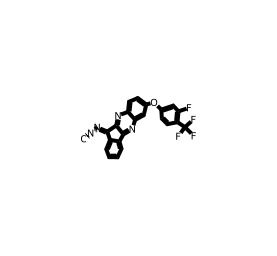 [C-]#[N+]/N=C1\c2ccccc2-c2nc3cc(Oc4ccc(C(F)(F)F)c(F)c4)ccc3nc21